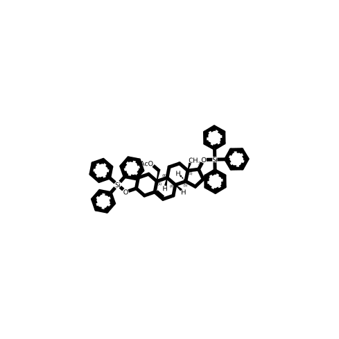 CC(=O)OC[C@]12CCC(O[Si](c3ccccc3)(c3ccccc3)c3ccccc3)CC1=CC[C@@H]1[C@H]2CC[C@]2(C)C(O[Si](c3ccccc3)(c3ccccc3)c3ccccc3)CC[C@@H]12